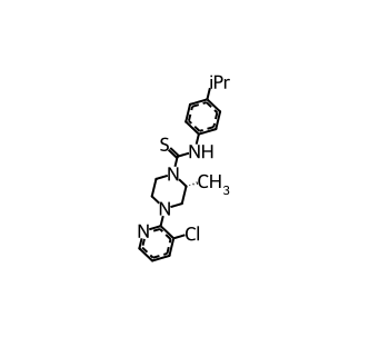 CC(C)c1ccc(NC(=S)N2CCN(c3ncccc3Cl)C[C@H]2C)cc1